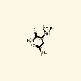 CCOC(=O)N[C@@H](CC(N)=O)C(N)=O